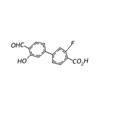 O=Cc1ccc(-c2ccc(C(=O)O)c(F)c2)cc1O